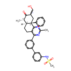 Cc1nc(-c2cccc(-c3cccc(NS(C)(=O)=O)c3)c2)c2c(n1)[C@@]1(c3ccccc3)C/C(=C/O)C(=O)[C@@H](C)[C@@H]1CC2